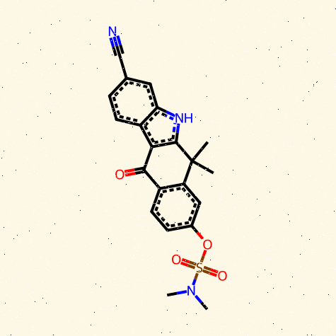 CN(C)S(=O)(=O)Oc1ccc2c(c1)C(C)(C)c1[nH]c3cc(C#N)ccc3c1C2=O